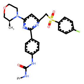 CC(C)NC(=O)Nc1ccc(-c2nc(CS(=O)(=O)c3ccc(F)cc3)cc(N3CCOC[C@@H]3C)n2)cc1